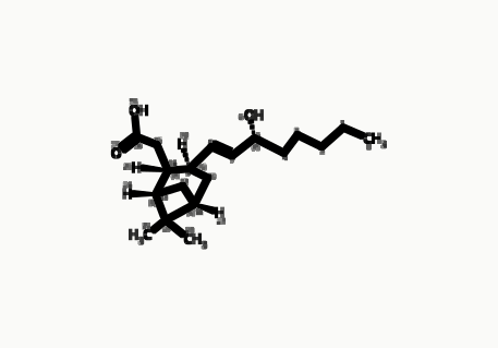 CCCCC[C@@H](O)C=C[C@H]1C[C@H]2C[C@@H]([C@@H]1CC(=O)O)C2(C)C